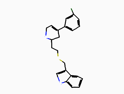 Clc1cccc(C2=CCNC(CCSCc3c[nH]c4ccccc34)C2)c1